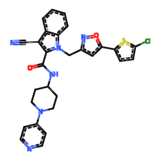 N#Cc1c(C(=O)NC2CCN(c3ccncc3)CC2)n(Cc2cc(-c3ccc(Cl)s3)on2)c2ccccc12